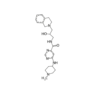 CN1CCC(Nc2cc(C(=O)NCC(O)CN3CCc4ccccc4C3)ncn2)CC1